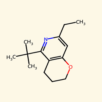 CCc1cc2c(c(C(C)(C)C)n1)CCCO2